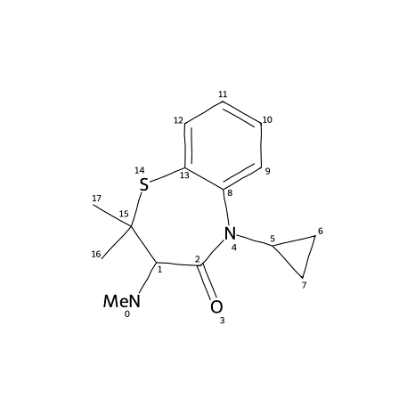 CNC1C(=O)N(C2CC2)c2ccccc2SC1(C)C